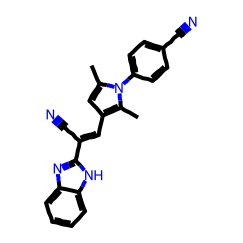 Cc1cc(C=C(C#N)c2nc3ccccc3[nH]2)c(C)n1-c1ccc(C#N)cc1